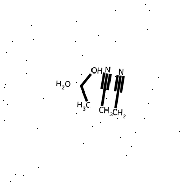 CC#N.CC#N.CCO.O